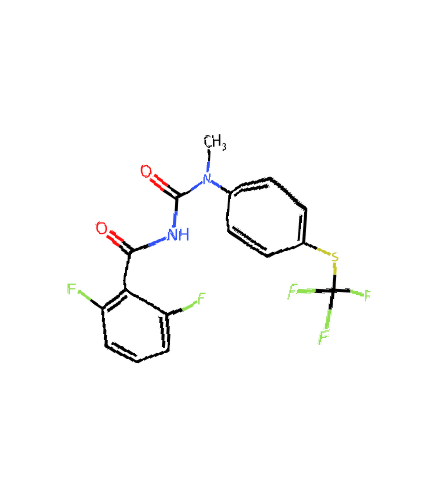 CN(C(=O)NC(=O)c1c(F)cccc1F)c1ccc(SC(F)(F)F)cc1